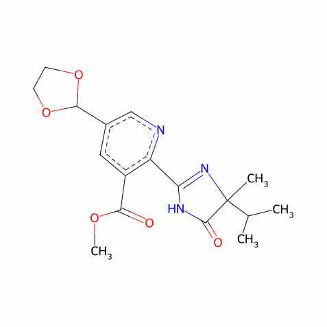 COC(=O)c1cc(C2OCCO2)cnc1C1=NC(C)(C(C)C)C(=O)N1